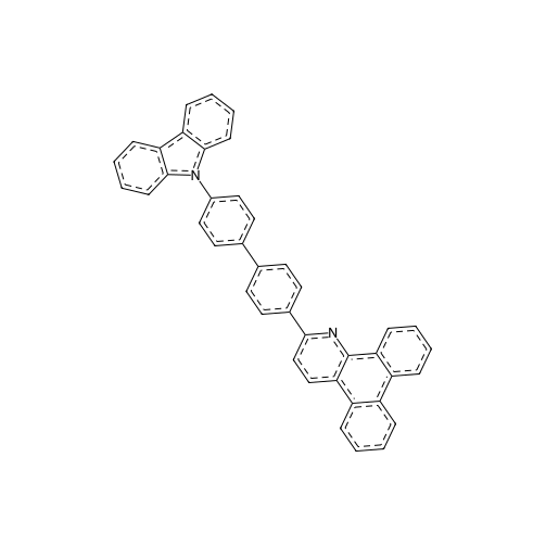 c1ccc2c(c1)c1ccccc1c1nc(-c3ccc(-c4ccc(-n5c6ccccc6c6ccccc65)cc4)cc3)ccc21